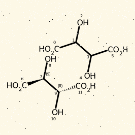 O=C(O)C(O)C(O)C(=O)O.O=C(O)[C@@H](O)[C@@H](O)C(=O)O